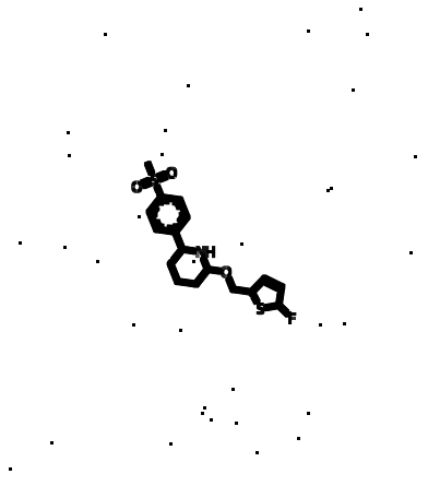 CS(=O)(=O)c1ccc(C2CCCC(OCC3C=CC(F)S3)N2)cc1